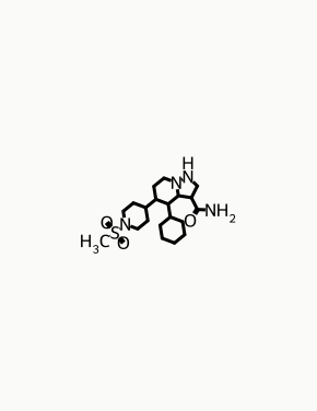 CS(=O)(=O)N1CCC(C2CCN3NCC(C(N)=O)C3C2C2CCCCC2)CC1